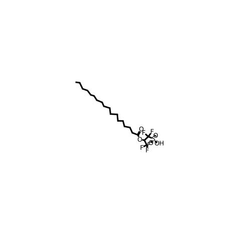 CCCCCCCCCCCCCCCCCC(=O)OC(C(F)(F)F)C(F)(F)S(=O)(=O)O